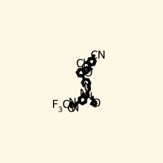 CC1(c2ccc(C#N)cc2Cl)Oc2cccc(C3CCN(Cc4nc5cc(-c6noc(C(F)(F)F)n6)ccc5n4CC4CCO4)CC3)c2O1